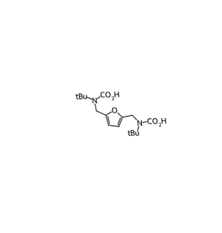 CC(C)(C)N(Cc1ccc(CN(C(=O)O)C(C)(C)C)o1)C(=O)O